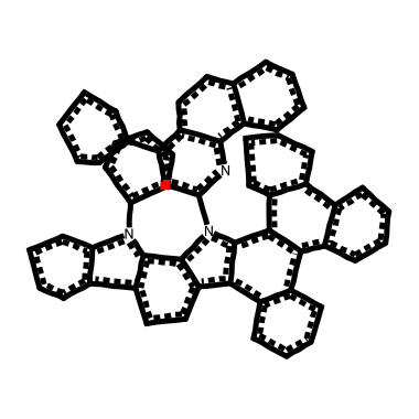 c1ccc(-c2nc(-n3c4c(c5ccccc5c5c6ccccc6c6ccccc6c54)c4ccc5c6ccccc6n(-c6ccccc6)c5c43)nc3c2ccc2ccccc23)cc1